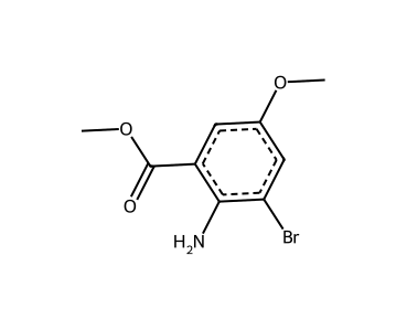 COC(=O)c1cc(OC)cc(Br)c1N